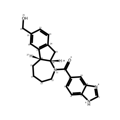 O=C(c1ccc2[nH]cnc2c1)N1CCCC[C@@H]2c3cc(CO)ccc3C[C@@H]21